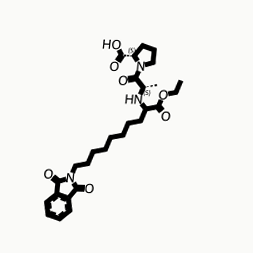 CCOC(=O)C(CCCCCCCCN1C(=O)c2ccccc2C1=O)N[C@@H](C)C(=O)N1CCC[C@H]1C(=O)O